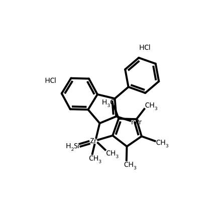 CCCC1=C(c2ccccc2)c2ccccc2[CH]1[Zr]([CH3])([CH3])(=[SiH2])[C]1=C(C)C(C)=C(C)C1C.Cl.Cl